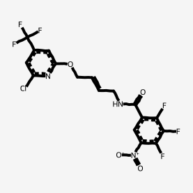 O=C(NC/C=C/COc1cc(C(F)(F)F)cc(Cl)n1)c1cc([N+](=O)[O-])c(F)c(F)c1F